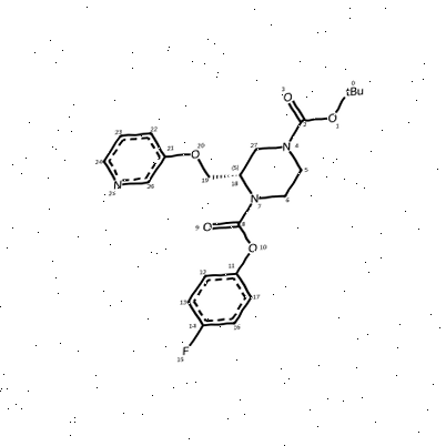 CC(C)(C)OC(=O)N1CCN(C(=O)Oc2ccc(F)cc2)[C@H](COc2cccnc2)C1